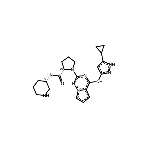 O=C(N[C@H]1CCCNC1)[C@@H]1CCCN1c1nc(Nc2cc(C3CC3)[nH]n2)c2cccn2n1